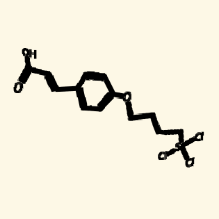 O=C(O)C=Cc1ccc(OCCCC[Si](Cl)(Cl)Cl)cc1